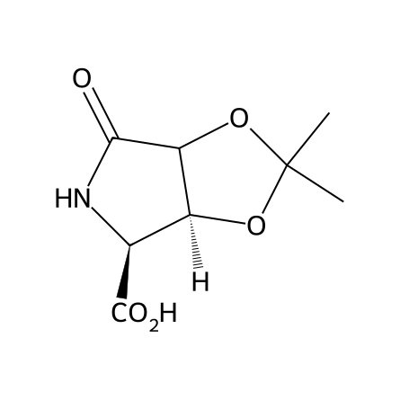 CC1(C)OC2C(=O)N[C@H](C(=O)O)[C@@H]2O1